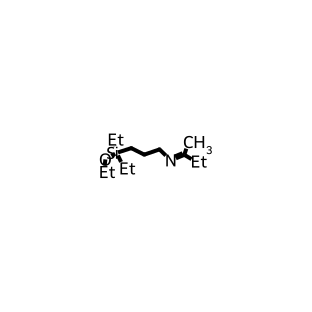 CCO[Si](CC)(CC)CCCN=C(C)CC